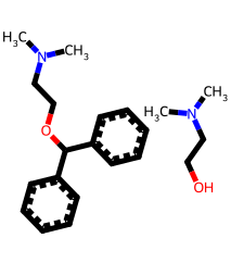 CN(C)CCO.CN(C)CCOC(c1ccccc1)c1ccccc1